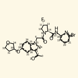 CC(=O)c1nn(CC(=O)N2C[C@H](F)C[C@H]2C(=O)Nc2cccc(Br)n2)c2ccc(OC3CCOC3)cc12